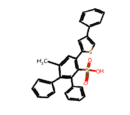 Cc1cc(-c2cc(-c3ccccc3)cs2)c(S(=O)(=O)O)c(-c2ccccc2)c1-c1ccccc1